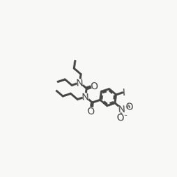 CCCCN(C(=O)c1ccc(I)c([N+](=O)[O-])c1)C(=O)N(CCC)CCC